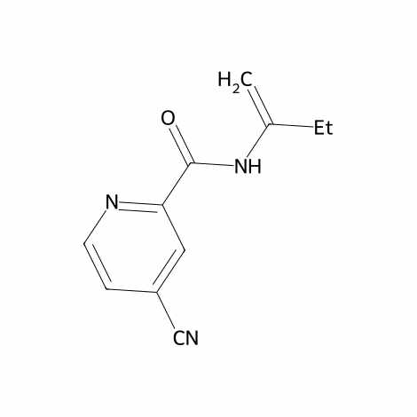 C=C(CC)NC(=O)c1cc(C#N)ccn1